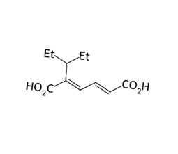 CCC(CC)/C(=C\C=C\C(=O)O)C(=O)O